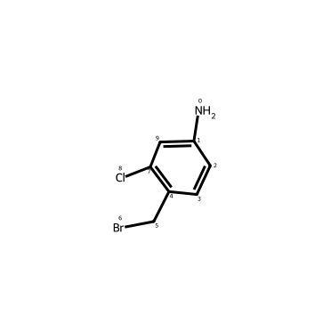 Nc1ccc(CBr)c(Cl)c1